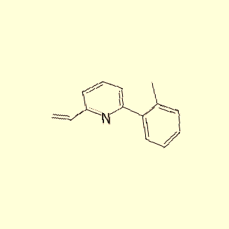 C=Cc1cccc(-c2ccccc2C)n1